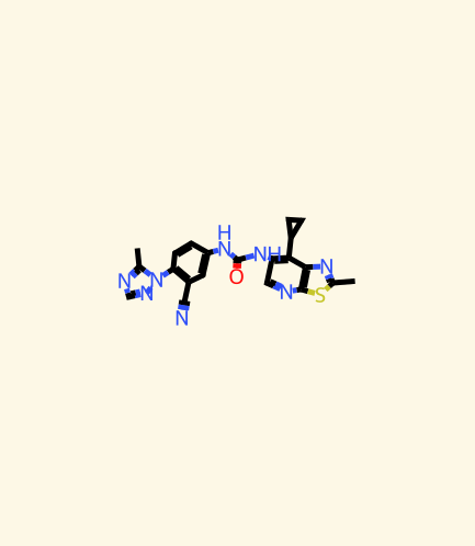 Cc1nc2c(C3CC3)c(NC(=O)Nc3ccc(-n4ncnc4C)c(C#N)c3)cnc2s1